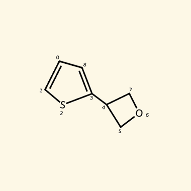 c1csc(C2COC2)c1